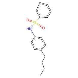 CCCCc1ccc(NS(=O)(=O)c2ccccc2)cc1